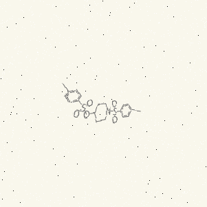 Cc1ccc(S(=O)(=O)OC2CCN(S(=O)(=O)c3ccc(C)cc3)CC2)cc1